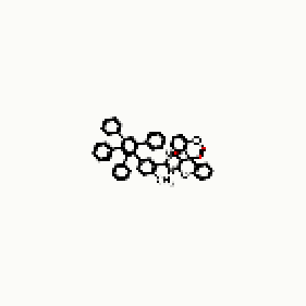 Cc1ccc(-c2c(-c3ccccc3)cc(-c3ccccc3)c(-c3ccccc3)c2-c2ccccc2)cc1-c1ncc2c(n1)Oc1ccccc1C21c2ccccc2Oc2ccccc21